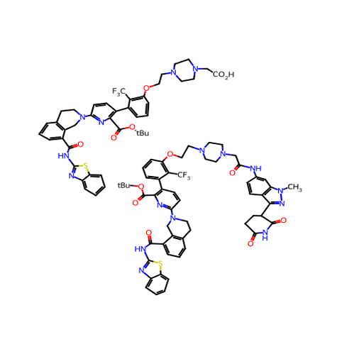 CC(C)(C)OC(=O)c1nc(N2CCc3cccc(C(=O)Nc4nc5ccccc5s4)c3C2)ccc1-c1cccc(OCCN2CCN(CC(=O)O)CC2)c1C(F)(F)F.Cn1nc(C2CCC(=O)NC2=O)c2ccc(NC(=O)CN3CCN(CCOc4cccc(-c5ccc(N6CCc7cccc(C(=O)Nc8nc9ccccc9s8)c7C6)nc5C(=O)OC(C)(C)C)c4C(F)(F)F)CC3)cc21